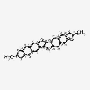 Cc1cc2cc3cc4c(cc3cc2s1)sc1c2cc3cc5cc(C)sc5cc3cc2sc41